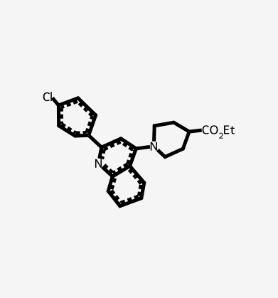 CCOC(=O)C1CCN(c2cc(-c3ccc(Cl)cc3)nc3ccccc23)CC1